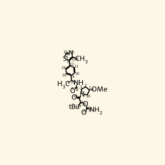 CO[C@@H]1C[C@@H](C(=O)N[C@@H](C)c2ccc(-c3scnc3C)cc2)N(C(=O)C(OC(N)=O)C(C)(C)C)C1